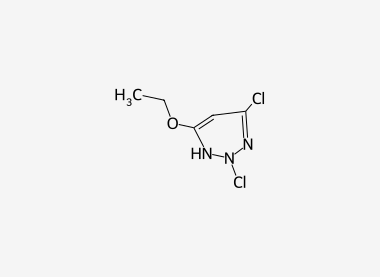 CCOC1=CC(Cl)=NN(Cl)N1